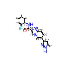 O=C(Nc1ccccc1F)c1cn2cc(-c3cc[nH]n3)ccc2n1